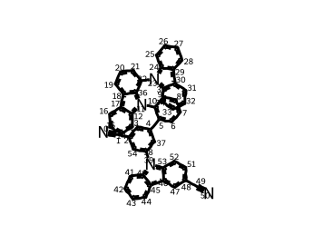 N#Cc1cc(-c2ccccc2-n2c3ccccc3c3cccc(-n4c5ccccc5c5ccccc54)c32)cc(-n2c3ccccc3c3cc(C#N)ccc32)c1